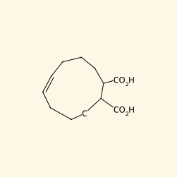 O=C(O)C1CCCC=CCCCC1C(=O)O